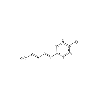 CC(C)c1ncc(C=CC=CC=O)cn1